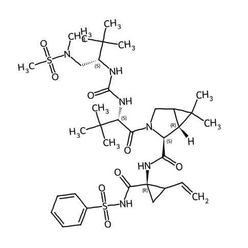 C=CC1C[C@]1(NC(=O)[C@@H]1[C@@H]2C(CN1C(=O)[C@@H](NC(=O)N[C@H](CN(C)S(C)(=O)=O)C(C)(C)C)C(C)(C)C)C2(C)C)C(=O)NS(=O)(=O)c1ccccc1